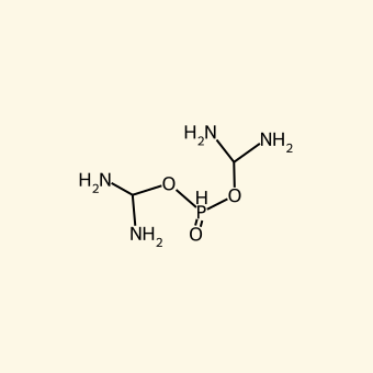 NC(N)O[PH](=O)OC(N)N